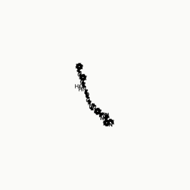 O[C@H](CNCCOCCOCCN1CCN(c2ccc(-c3cnc4c(-c5cccc6ncccc56)cnn4c3)cc2)CC1)COc1cccc(OCCc2ccccc2)c1